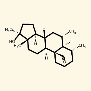 C[C@@H]1CCC[C@@]2(C=O)[C@H]1[C@@H](C)C[C@@H]1[C@@H]2CC[C@@]2(C)[C@H]1CC[C@]2(C)O